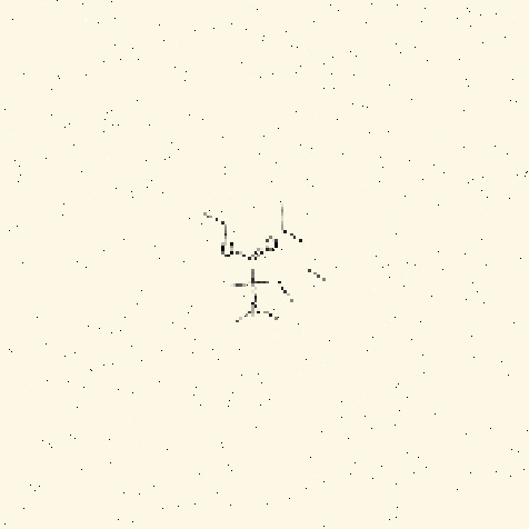 CCCCC.CCOC(=O)C(C)(CC)N(C)C